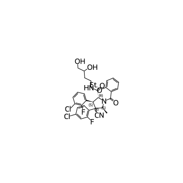 CCOc1ccccc1C(=O)N1[C@@H](C)[C@](C#N)(c2ccc(Cl)cc2F)[C@@H](c2cccc(Cl)c2F)[C@@H]1C(=O)NCCC(O)CO